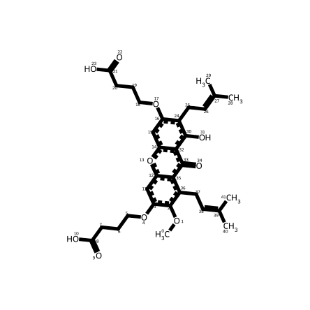 COc1c(OCCCC(=O)O)cc2oc3cc(OCCCC(=O)O)c(CC=C(C)C)c(O)c3c(=O)c2c1CC=C(C)C